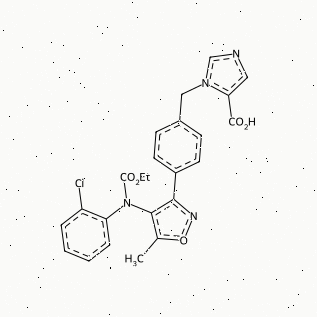 CCOC(=O)N(c1ccccc1Cl)c1c(-c2ccc(Cn3cncc3C(=O)O)cc2)noc1C